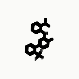 Cc1ccc(-c2ccccc2C(F)(F)F)cc1Nc1ccccc1C(C)C